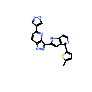 Cc1ccc(-c2nccc3[nH]c(-c4n[nH]c5ccc(-c6cn[nH]c6)nc45)cc23)s1